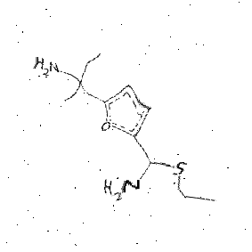 CCSC(N)c1ccc(C(C)(C)N)o1